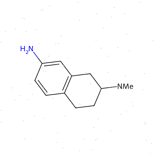 CNC1CCc2ccc(N)cc2C1